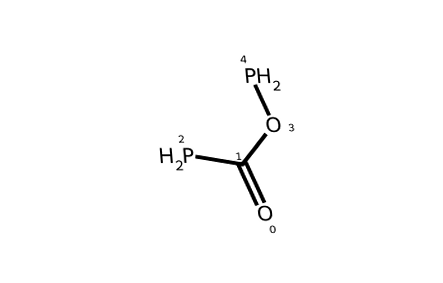 O=C(P)OP